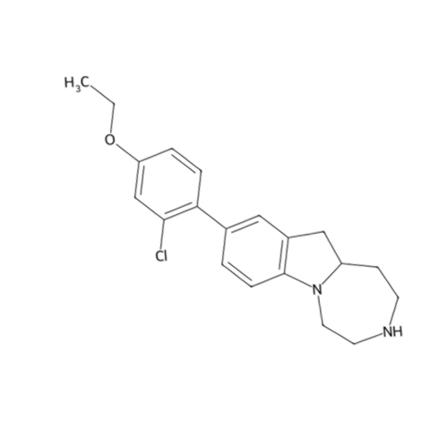 CCOc1ccc(-c2ccc3c(c2)CC2CCNCCN32)c(Cl)c1